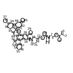 C=C(C)C(=O)OCCNC(=O)OC=C1CCCN(c2cc3c4c(c5c(c3cc2OC)OC(c2ccc(OC)cc2)(c2ccc(OC)cc2)C=C5)C(C)(C)c2ccccc2-4)C1